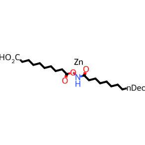 CCCCCCCCCCCCCCCCCC(=O)NOC(=O)CCCCCCCCC(=O)O.[Zn]